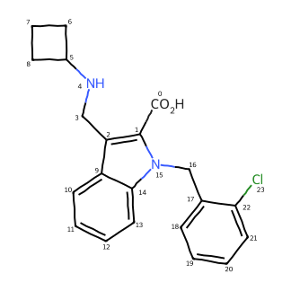 O=C(O)c1c(CNC2CCC2)c2ccccc2n1Cc1ccccc1Cl